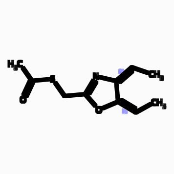 C/C=c1/nc(CSC(C)=O)o/c1=C/C